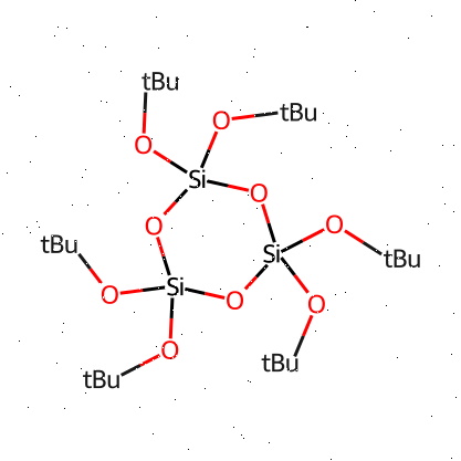 CC(C)(C)O[Si]1(OC(C)(C)C)O[Si](OC(C)(C)C)(OC(C)(C)C)O[Si](OC(C)(C)C)(OC(C)(C)C)O1